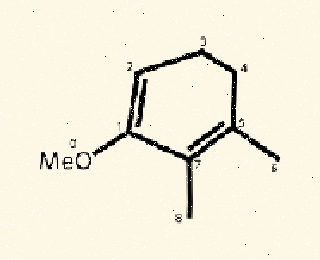 COC1=CCCC(C)=C1C